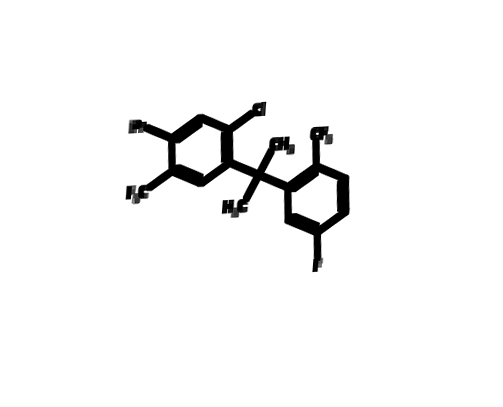 CC(C)c1cc(Cl)c(C(C)(C)c2cc(F)ccc2C(F)(F)F)cc1C(F)(F)F